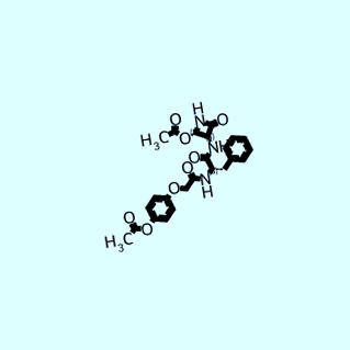 CC(=O)Oc1ccc(OCC(=O)N[C@@H](Cc2ccccc2)C(=O)N[C@@H]2C(=O)N[C@H]2OC(C)=O)cc1